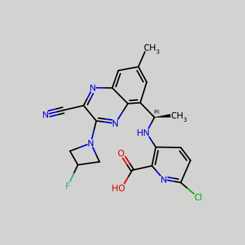 Cc1cc([C@@H](C)Nc2ccc(Cl)nc2C(=O)O)c2nc(N3CC(F)C3)c(C#N)nc2c1